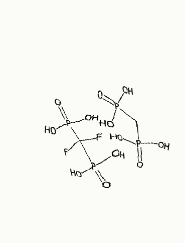 O=P(O)(O)C(F)(F)P(=O)(O)O.O=P(O)(O)CP(=O)(O)O